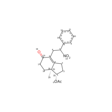 CC(=O)O[C@H]1CCC2=C(CC(c3ccccc3)[N+](=O)[O-])C(=O)CC[C@@]21C